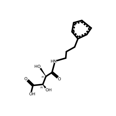 O=C(O)[C@H](O)[C@@H](O)C(=O)NCCCc1ccccc1